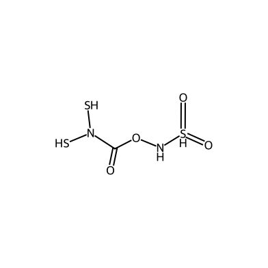 O=C(ON[SH](=O)=O)N(S)S